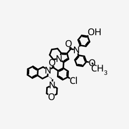 COc1cccc(N(C(=O)c2cc(-c3cc(Cl)ccc3C(=O)N3Cc4ccccc4C[C@H]3CN3CCOCC3)n3c2CCCC3)c2ccc(O)cc2)c1